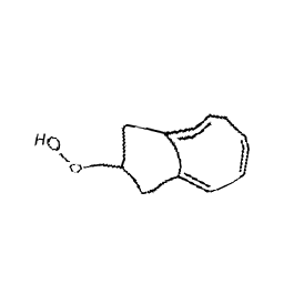 OOC1Cc2ccccc2C1